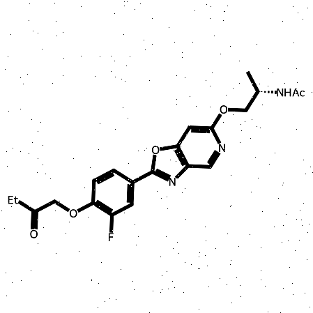 CCC(=O)COc1ccc(-c2nc3cnc(OC[C@H](C)NC(C)=O)cc3o2)cc1F